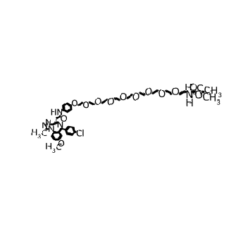 COc1ccc2c(c1)C(c1ccc(Cl)cc1)=N[C@@H](CC(=O)Nc1ccc(OCCOCCOCCOCCOCCOCCOCCOCCOCCNC(=O)OC(C)(C)C)cc1)c1nnc(C)n1-2